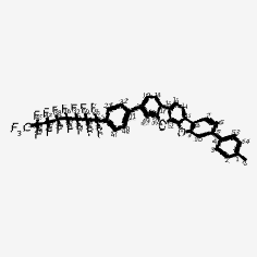 Cc1ccc(-c2ccc3c(c2)oc2c3ccc3c4ccc(-c5ccc(C(F)(F)C(F)(F)C(F)(F)C(F)(F)C(F)(F)C(F)(F)C(F)(F)C(F)(F)F)cc5)cc4oc32)cc1